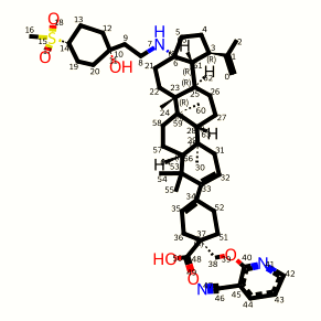 C=C(C)[C@@H]1CC[C@]2(NCC[C@]3(O)CC[C@@H](S(C)(=O)=O)CC3)CC[C@]3(C)[C@H](CC[C@@H]4[C@@]5(C)CC=C(C6=CC[C@](COc7ncccc7C#N)(C(=O)O)CC6)C(C)(C)[C@@H]5CC[C@]43C)[C@@H]12